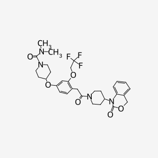 CN(C)C(=O)N1CCC(Oc2ccc(CC(=O)N3CCC(N4C(=O)OCc5ccccc54)CC3)c(OCC(F)(F)F)c2)CC1